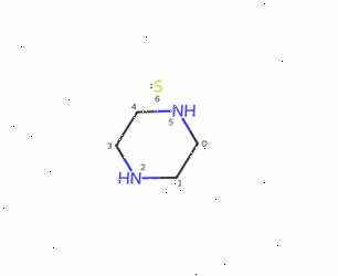 C1CNCCN1.[S]